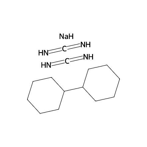 C1CCC(C2CCCCC2)CC1.N=C=N.N=C=N.[NaH]